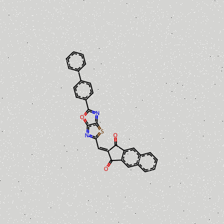 O=C1C(=Cc2nc3oc(-c4ccc(-c5ccccc5)cc4)nc3s2)C(=O)c2cc3ccccc3cc21